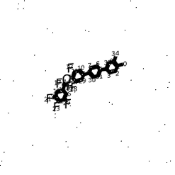 Cc1ccc(-c2ccc(-c3cc(F)c(OC(F)(F)c4cc(F)c(F)c(F)c4)c(F)c3)cc2)cc1C